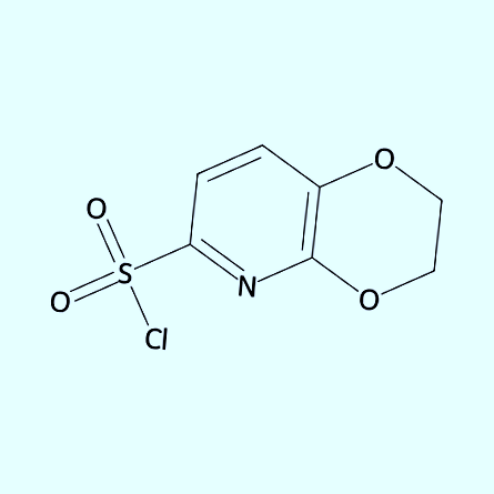 O=S(=O)(Cl)c1ccc2c(n1)OCCO2